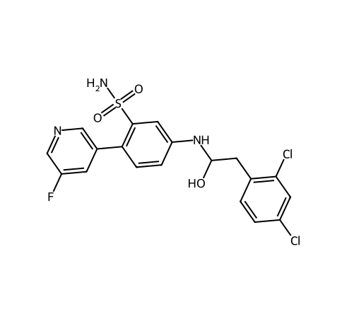 NS(=O)(=O)c1cc(NC(O)Cc2ccc(Cl)cc2Cl)ccc1-c1cncc(F)c1